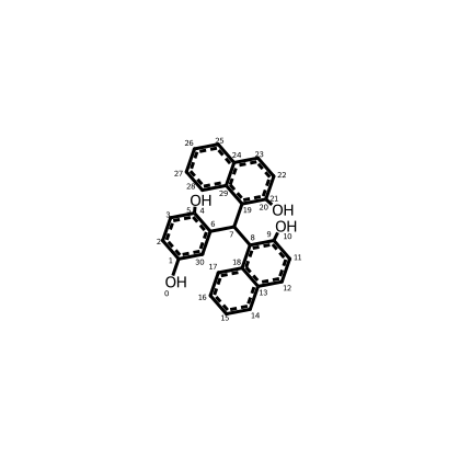 Oc1ccc(O)c(C(c2c(O)ccc3ccccc23)c2c(O)ccc3ccccc23)c1